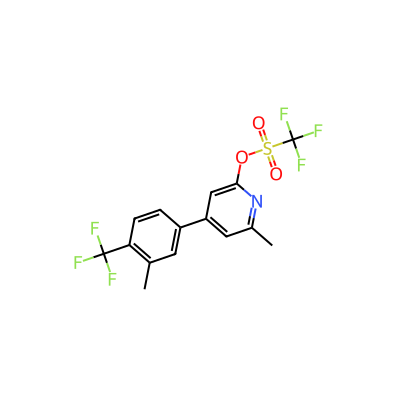 Cc1cc(-c2ccc(C(F)(F)F)c(C)c2)cc(OS(=O)(=O)C(F)(F)F)n1